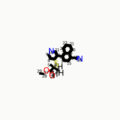 [2H]C([2H])([2H])C(C)(Sc1ccncc1-c1ccc(C#N)c2ccccc12)C(=O)OCC